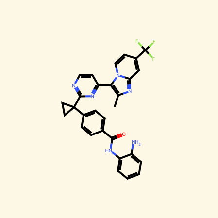 Cc1nc2cc(C(F)(F)F)ccn2c1-c1ccnc(C2(c3ccc(C(=O)Nc4ccccc4N)cc3)CC2)n1